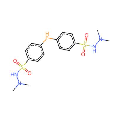 CN(C)NS(=O)(=O)c1ccc(Pc2ccc(S(=O)(=O)NN(C)C)cc2)cc1